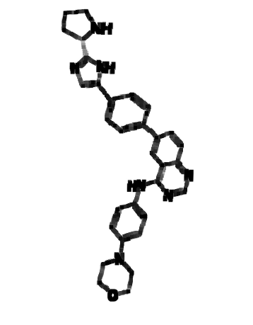 c1nc(Nc2ccc(N3CCOCC3)cc2)c2cc(-c3ccc(-c4cnc([C@@H]5CCCN5)[nH]4)cc3)ccc2n1